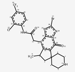 CC1CC2(CCNCC2)c2c1n(CC(=O)Nc1ccc(C(F)(F)F)cc1Cl)c1nc(Br)nn1c2=O